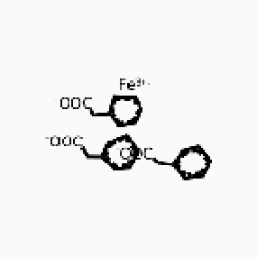 O=C([O-])Cc1ccccc1.O=C([O-])Cc1ccccc1.O=C([O-])Cc1ccccc1.[Fe+3]